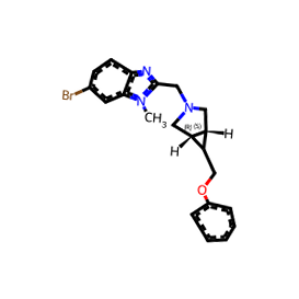 Cn1c(CN2C[C@@H]3C(COc4ccccc4)[C@@H]3C2)nc2ccc(Br)cc21